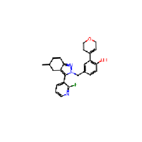 CC1CCc2nn(Cc3ccc(O)c(C4=CCOCC4)c3)c(-c3cccnc3F)c2C1